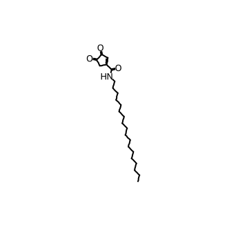 CCCCCCCCCCCCCCCCCCNC(=O)C1=CC(=O)C(=O)C1